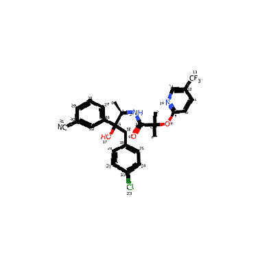 C[C@@H](NC(=O)C(C)(C)Oc1ccc(C(F)(F)F)cn1)C(O)(Cc1ccc(Cl)cc1)c1cccc(C#N)c1